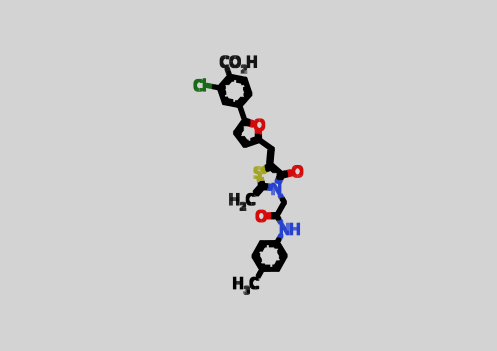 C=c1s/c(=C\c2ccc(-c3ccc(C(=O)O)c(Cl)c3)o2)c(=O)n1CC(=O)Nc1ccc(C)cc1